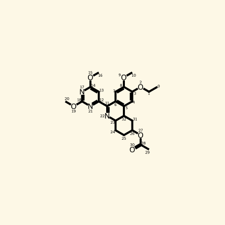 CCOc1cc2c(cc1OC)C(c1cc(OC)nc(OC)n1)=NC1CCC(OC(C)=O)CC21